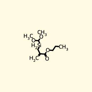 C=C(C[SiH2]C(OC)OC)C(=O)OCCC